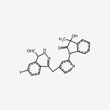 CC1(O)C(=O)N(c2cc(CC3=NNC(C=O)c4cc(F)ccc43)ccn2)c2ccccc21